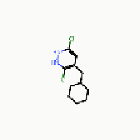 ClC1=CC(CC2CCCCC2)=C(Cl)NN1